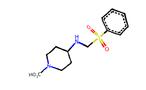 O=C(O)N1CCC(NCS(=O)(=O)c2ccccc2)CC1